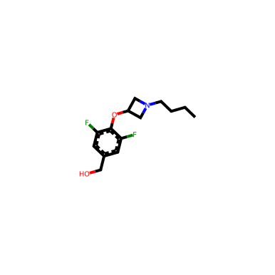 CCCCN1CC(Oc2c(F)cc(CO)cc2F)C1